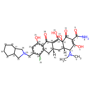 CN(C)[C@@H]1C(O)=C(C(N)=O)C(=O)[C@@]2(O)C(O)=C3C(=O)c4c(O)cc(CN5CC6CCCCC6C5)c(F)c4C[C@H]3C[C@@H]12